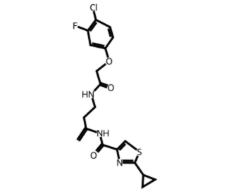 C=C(CCNC(=O)COc1ccc(Cl)c(F)c1)NC(=O)c1csc(C2CC2)n1